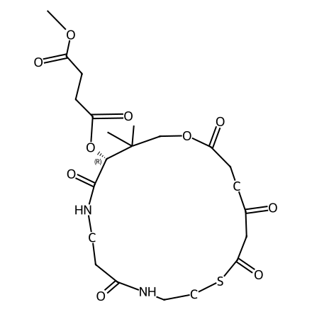 COC(=O)CCC(=O)O[C@H]1C(=O)NCCC(=O)NCCSC(=O)CC(=O)CCC(=O)OCC1(C)C